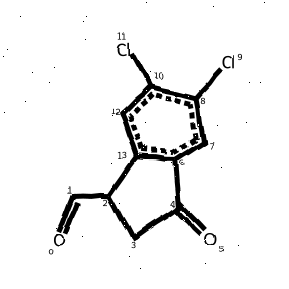 O=CC1CC(=O)c2cc(Cl)c(Cl)cc21